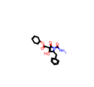 NC(=O)N1C(=O)C(C(=O)OC2CCCCC2)=C(O)C1Cc1ccccc1